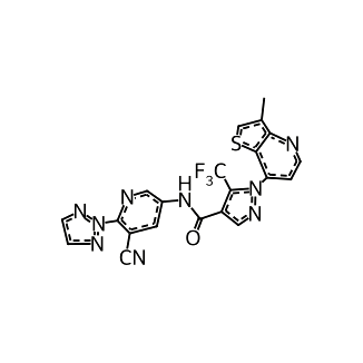 Cc1csc2c(-n3ncc(C(=O)Nc4cnc(-n5nccn5)c(C#N)c4)c3C(F)(F)F)ccnc12